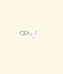 NC/C(=C\NC1CCNCC1)c1ccc2ccccc2n1